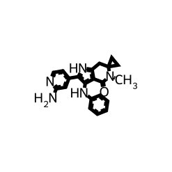 CN1C(=O)c2c([nH]c(-c3ccnc(N)c3)c2Nc2ccccc2)CC12CC2